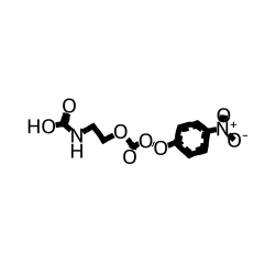 O=C(O)NCCOC(=O)OOc1ccc([N+](=O)[O-])cc1